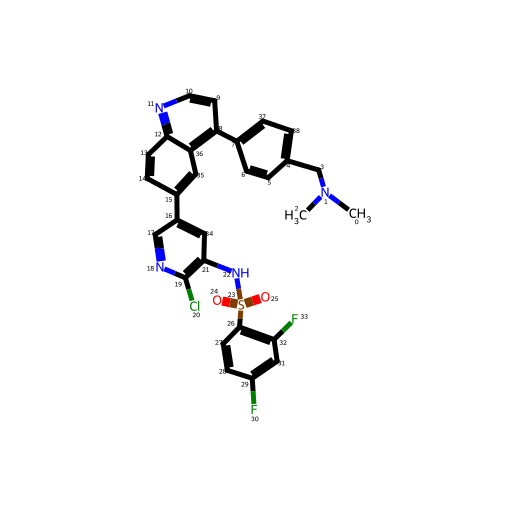 CN(C)Cc1ccc(-c2ccnc3ccc(-c4cnc(Cl)c(NS(=O)(=O)c5ccc(F)cc5F)c4)cc23)cc1